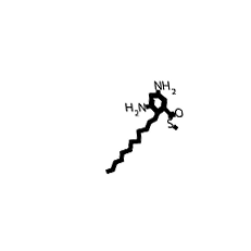 CCCCCCCCCCCCc1c(N)cc(N)cc1C(=O)SC